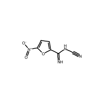 N#CNC(=N)c1ccc([N+](=O)[O-])o1